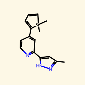 Cc1cc(-c2cc(C3=CC=C[Si]3(C)C)ccn2)[nH]n1